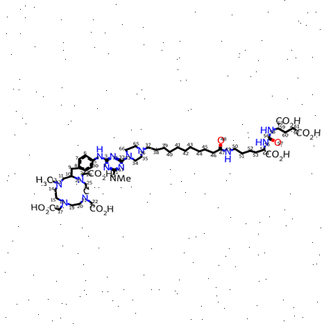 CNc1nc(Nc2ccc(CC3CN(C)CCN(CC(=O)O)CCN(CC(=O)O)CCN3CC(=O)O)cc2)nc(N2CCN(CCCCCCCCCCC(=O)NCCCC[C@H](NC(=O)N[C@@H](CCC(=O)O)C(=O)O)C(=O)O)CC2)n1